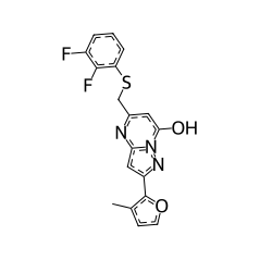 Cc1ccoc1-c1cc2nc(CSc3cccc(F)c3F)cc(O)n2n1